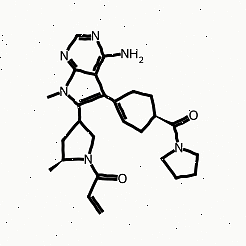 C=CC(=O)N1CC(c2c(C3=CC[C@H](C(=O)N4CCCC4)CC3)c3c(N)ncnc3n2C)C[C@@H]1C